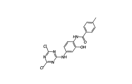 Cc1ccc(C(=O)Nc2ccc(Nc3nc(Cl)nc(Cl)n3)cc2O)cc1